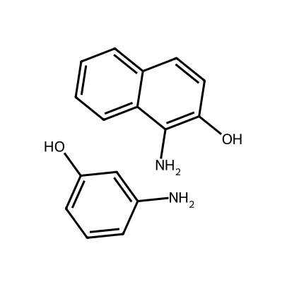 Nc1c(O)ccc2ccccc12.Nc1cccc(O)c1